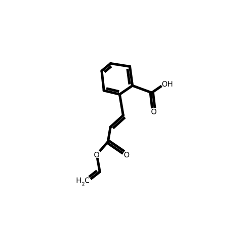 C=COC(=O)/C=C/c1ccccc1C(=O)O